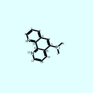 CP(C)c1cc2cccnc2c2ncccc12